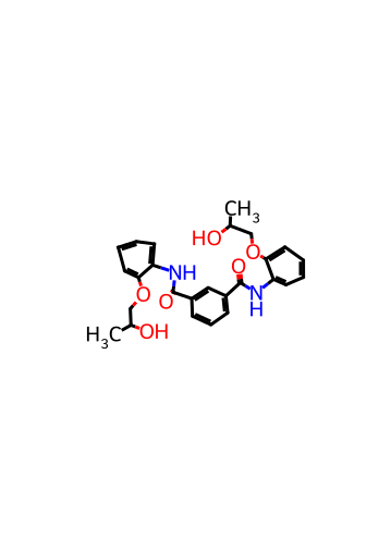 CC(O)COc1ccccc1NC(=O)c1cccc(C(=O)Nc2ccccc2OCC(C)O)c1